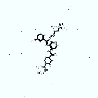 CC(NC(=O)O)C1CCC(C(=O)Nc2ccnc3c2cc(-c2cccc(F)c2)n3COCC[Si](C)(C)C)CC1